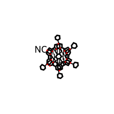 N#Cc1ccc2c(c1)c1ccccc1n2-c1c(-n2c3ccccc3c3cc(-c4ccccc4)ccc32)c(-n2c3ccccc3c3cc(-c4ccccc4)ccc32)c(-n2c3ccccc3c3cc(-c4ccccc4)ccc32)c(-n2c3ccccc3c3cc(-c4ccccc4)ccc32)c1-n1c2ccccc2c2cc(-c3ccccc3)ccc21